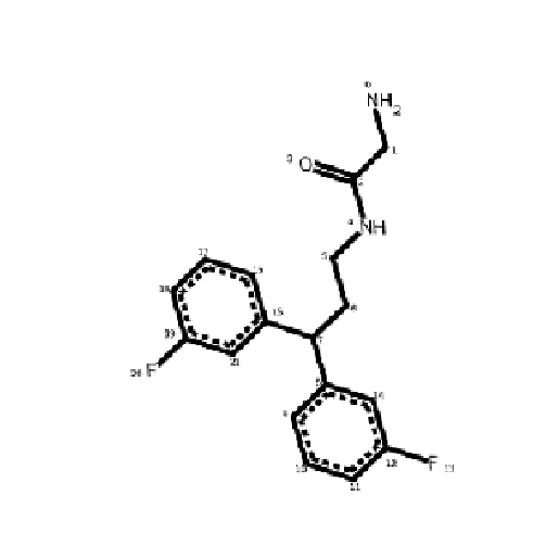 NCC(=O)NCCC(c1cccc(F)c1)c1cccc(F)c1